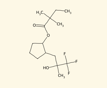 CCC(C)(C)C(=O)OC1CCCC1CC(C)(O)C(F)(F)F